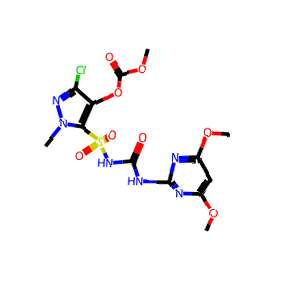 COC(=O)Oc1c(Cl)nn(C)c1S(=O)(=O)NC(=O)Nc1nc(OC)cc(OC)n1